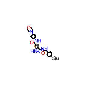 CC(C)(C)c1ccc(CC(=O)Nc2n[nH]c3sc(C(=O)Nc4ccc(N5CCOCC5)cc4)cc23)cc1